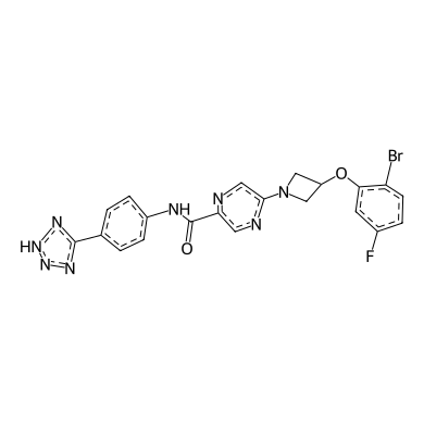 O=C(Nc1ccc(-c2nn[nH]n2)cc1)c1cnc(N2CC(Oc3cc(F)ccc3Br)C2)cn1